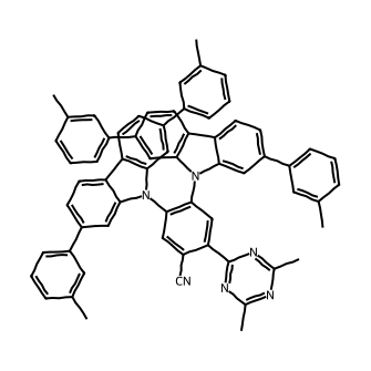 Cc1cccc(-c2ccc3c4ccc(-c5cccc(C)c5)cc4n(-c4cc(C#N)c(-c5nc(C)nc(C)n5)cc4-n4c5cc(-c6cccc(C)c6)ccc5c5ccc(-c6cccc(C)c6)cc54)c3c2)c1